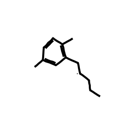 CCC[CH]Cc1cc(C)ccc1C